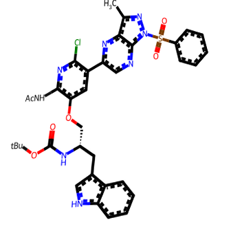 CC(=O)Nc1nc(Cl)c(-c2cnc3c(n2)c(C)nn3S(=O)(=O)c2ccccc2)cc1OC[C@H](Cc1c[nH]c2ccccc12)NC(=O)OC(C)(C)C